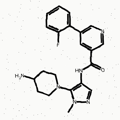 Cn1ncc(NC(=O)c2cncc(-c3ccccc3F)c2)c1N1CCC(N)CC1